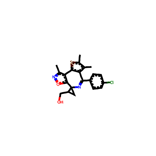 Cc1noc2c1-c1sc(C)c(C)c1C(c1ccc(Cl)cc1)=NC21CC1CO